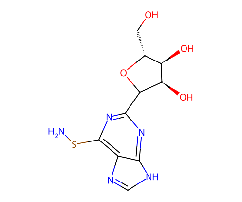 NSc1nc(C2O[C@H](CO)[C@@H](O)[C@H]2O)nc2[nH]cnc12